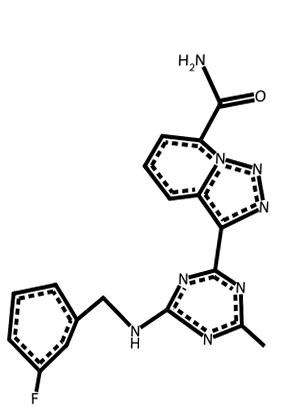 Cc1nc(NCc2cccc(F)c2)nc(-c2nnn3c(C(N)=O)cccc23)n1